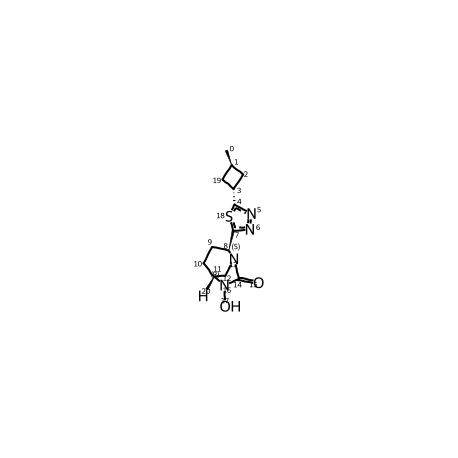 C[C@H]1C[C@H](c2nnc([C@@H]3CC[C@@H]4CN3C(=O)N4O)s2)C1